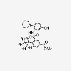 [2H]C1([2H])C([2H])([2H])C1([2H])c1ccc(C(=O)OC)cc1S(=O)(=O)Nc1cc(C#N)ccc1N1CCCCC1